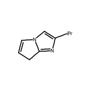 CC(C)c1cn2c(n1)CC=C2